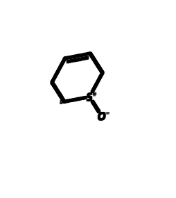 [O-][S+]1[C]CC=CC1